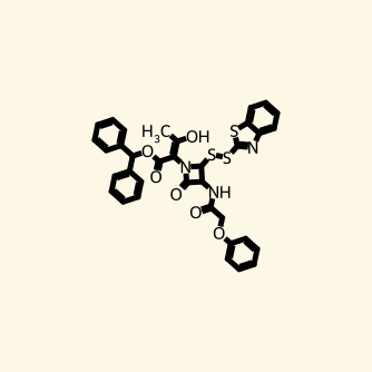 CC(O)=C(C(=O)OC(c1ccccc1)c1ccccc1)N1C(=O)C(NC(=O)COc2ccccc2)C1SSc1nc2ccccc2s1